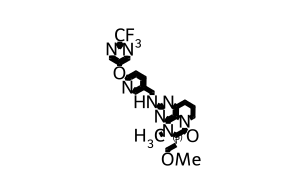 COCC[C@H]1C(=O)N2CCCc3nc(NCc4ccc(Oc5cnc(C(F)(F)F)nc5)nc4)nc(c32)N1C